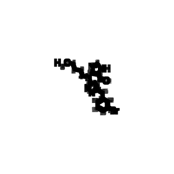 CCCCCn1c2nc[nH]c2c(=O)n2c(Cc3cccc(Br)c3)nnc12